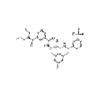 CCCN(CCC)C(=O)c1cncc(C(=O)N[C@@H](Cc2cc(F)cc(F)c2)[C@H](O)CNCc2cccc(C(F)(F)F)c2)c1